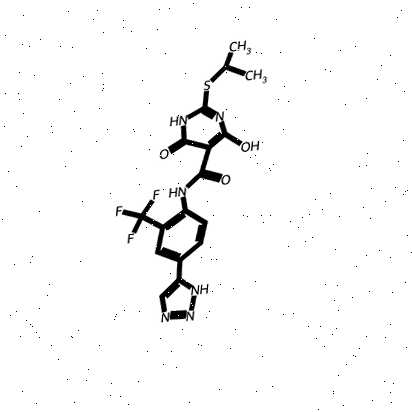 CC(C)Sc1nc(O)c(C(=O)Nc2ccc(-c3cnn[nH]3)cc2C(F)(F)F)c(=O)[nH]1